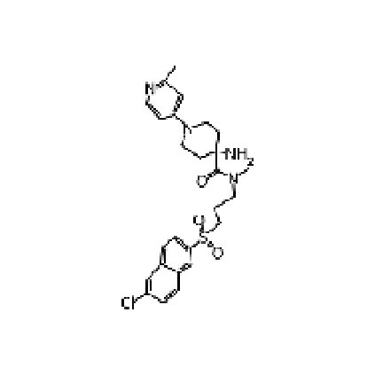 Cc1cc(N2CCC(N)(C(=O)N(C)CCCS(=O)(=O)c3ccc4cc(Cl)ccc4c3)CC2)ccn1